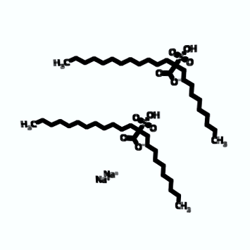 CCCCCCCCCCCCC(CCCCCCCCCC)(C(=O)[O-])S(=O)(=O)O.CCCCCCCCCCCCC(CCCCCCCCCC)(C(=O)[O-])S(=O)(=O)O.[Na+].[Na+]